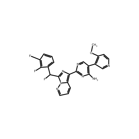 COc1ccncc1-c1cnc(-c2nc(C(F)c3cccc(F)c3F)n3ncccc23)nc1N